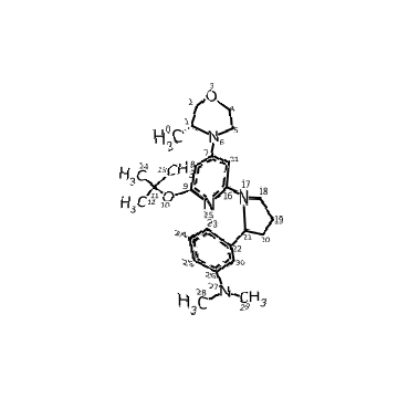 C[C@@H]1COCCN1c1cc(OC(C)(C)C)nc(N2CCCC2c2cccc(N(C)C)c2)c1